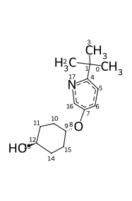 CC(C)(C)c1ccc(O[C@H]2CC[C@H](O)CC2)cn1